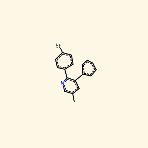 CCc1ccc(-c2ncc(C)cc2-c2ccccc2)cc1